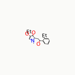 CCOC1=CN(C)C(CC(=O)c2ccccc2CC)C1=O